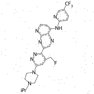 CC(C)N1CCN(c2cc(CF)c(-c3cnc4c(Nc5ccc(C(F)(F)F)cn5)ccnc4n3)nn2)CC1